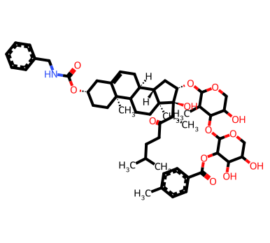 Cc1ccc(C(=O)OC2C(OC3C(O)COC(O[C@H]4C[C@H]5[C@@H]6CC=C7C[C@@H](OC(=O)NCc8ccccc8)CC[C@]7(C)C6CC[C@]5(C)[C@@]4(O)[C@H](C)C(=O)CCC(C)C)C3C)OCC(O)C2O)cc1